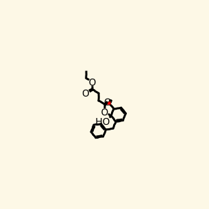 C=CC1C=CC=C(Cc2ccccc2)C1(O)OC(=O)CCC(=O)OCC